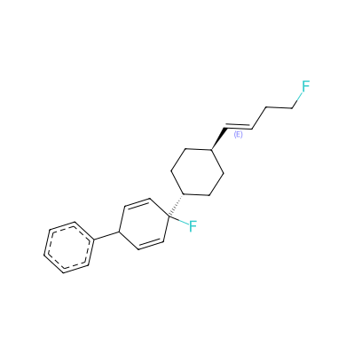 FCC/C=C/[C@H]1CC[C@H](C2(F)C=CC(c3ccccc3)C=C2)CC1